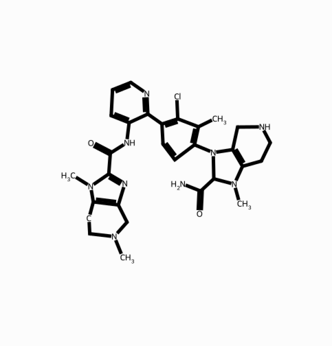 Cc1c(N2C3=C(CCNC3)N(C)C2C(N)=O)ccc(-c2ncccc2NC(=O)c2nc3c(n2C)CCN(C)C3)c1Cl